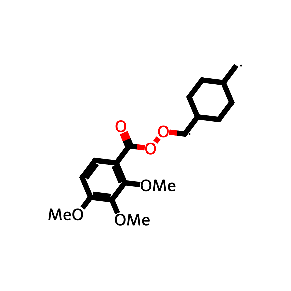 [CH2]C1CCC([CH]OOC(=O)c2ccc(OC)c(OC)c2OC)CC1